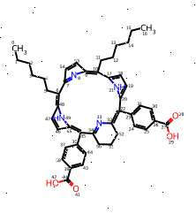 CCCCCCc1c2nc(c(CCCCCC)c3ccc([nH]3)c(-c3ccc(C(=O)O)cc3)c3nc(c(-c4ccc(C(=O)O)cc4)c4ccc1[nH]4)CCC3)C=C2